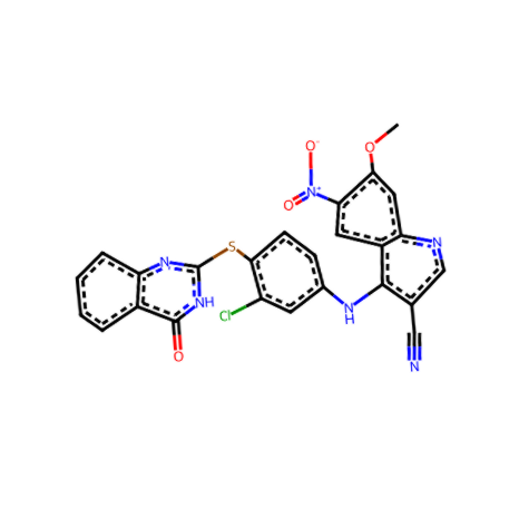 COc1cc2ncc(C#N)c(Nc3ccc(Sc4nc5ccccc5c(=O)[nH]4)c(Cl)c3)c2cc1[N+](=O)[O-]